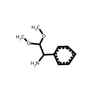 COC(OC)C(N)c1ccccc1